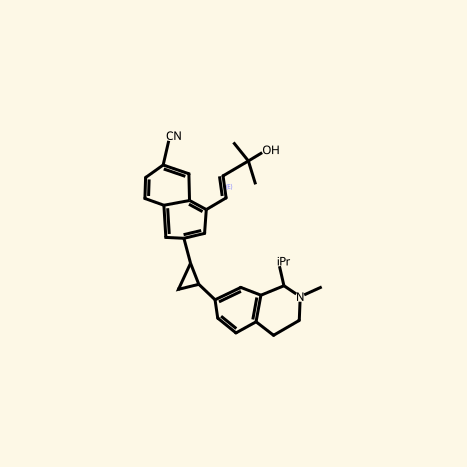 CC(C)C1c2cc(C3CC3c3cc(/C=C/C(C)(C)O)c4cc(C#N)ccc4c3)ccc2CCN1C